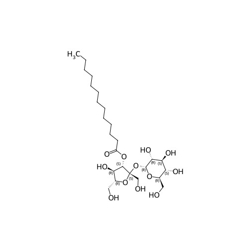 CCCCCCCCCCCCC(=O)O[C@H]1[C@H](O)[C@@H](CO)O[C@@]1(CO)O[C@H]1O[C@H](CO)[C@@H](O)[C@H](O)[C@H]1O